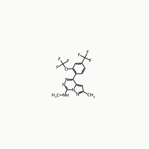 CNc1nnc(-c2ccc(C(F)(F)F)cc2OC(F)(F)F)c2cc(C)nn12